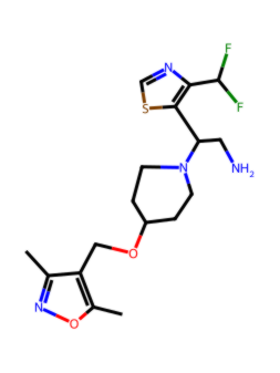 Cc1noc(C)c1COC1CCN(C(CN)c2scnc2C(F)F)CC1